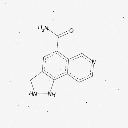 NC(=O)c1cc2c(c3ccncc13)NNC2